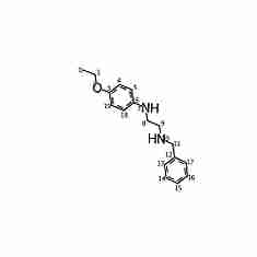 CCOc1ccc(NCCNCc2ccccc2)cc1